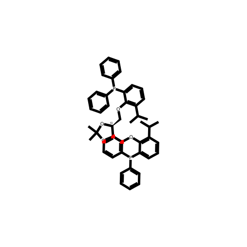 CC(C)c1cccc(P(c2ccccc2)c2ccccc2)c1OCC1OC(C)(C)O[C@H]1COc1c(C(C)C)cccc1P(c1ccccc1)c1ccccc1